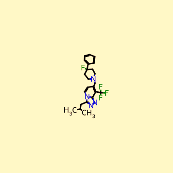 CC(C)Cc1nnc2c(C(F)(F)F)c(CN3CCC(F)(c4ccccc4)CC3)ccn12